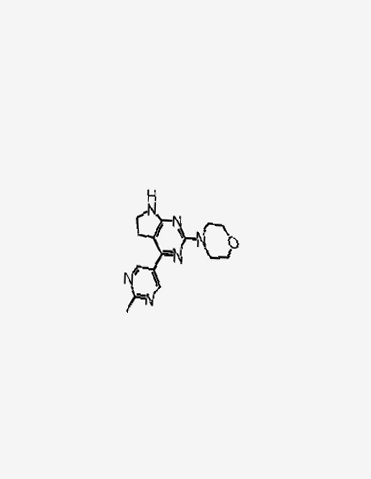 Cc1ncc(-c2nc(N3CCOCC3)nc3c2CCN3)cn1